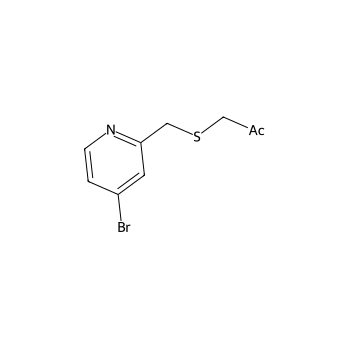 CC(=O)CSCc1cc(Br)ccn1